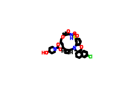 CC1(C)OC/C=C/[C@H](OC(=O)N2CCC(O)CC2)[C@@H]2CC[C@H]2CN2C[C@@]3(CCCc4cc(Cl)ccc43)COc3ccc(cc32)S(=O)(=O)NC1=O